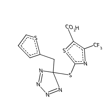 O=C(O)c1sc(SC2(Cc3cccs3)N=NN=N2)nc1C(F)(F)F